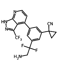 N#CC1(c2cc(-c3ccnc4[nH]nc(C(F)(F)F)c34)cc(C(F)(F)CN)c2)CC1